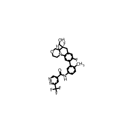 Cc1ccc(NC(=O)c2cnnc(C(F)(F)F)c2)cc1-c1cc2c(cc1F)C[C@](F)(CO)[C@H]1COCCN21